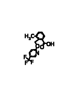 Cc1cccc(C(=O)O)c1COc1ccc(C(F)(F)F)cn1